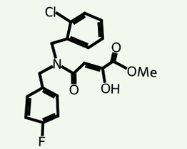 COC(=O)/C(O)=C/C(=O)N(Cc1ccc(F)cc1)Cc1ccccc1Cl